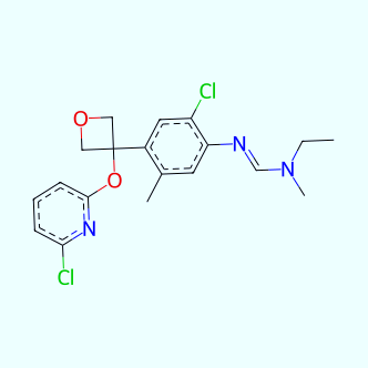 CCN(C)C=Nc1cc(C)c(C2(Oc3cccc(Cl)n3)COC2)cc1Cl